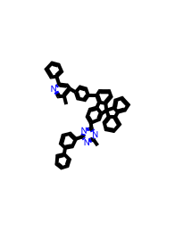 Cc1nc(-c2cccc(-c3ccccc3)c2)nc(-c2ccc3c(c2)C2(c4ccccc4-c4ccccc42)c2cccc(-c4ccc(-c5cc(-c6ccccc6)ncc5C)cc4)c2-3)n1